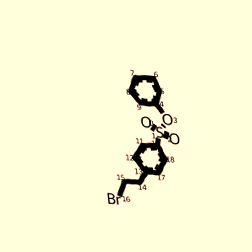 O=S(=O)(Oc1ccccc1)c1ccc(CCBr)cc1